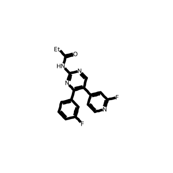 CCC(=O)Nc1ncc(-c2ccnc(F)c2)c(-c2cccc(F)c2)n1